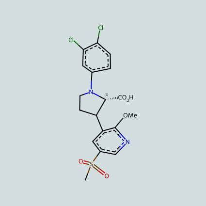 COc1ncc(S(C)(=O)=O)cc1C1CCN(c2ccc(Cl)c(Cl)c2)[C@@H]1C(=O)O